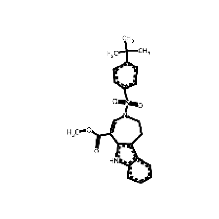 COC(=O)C1=CN(S(=O)(=O)c2ccc(C(C)(C)C)cc2)CCc2c1[nH]c1ccccc21